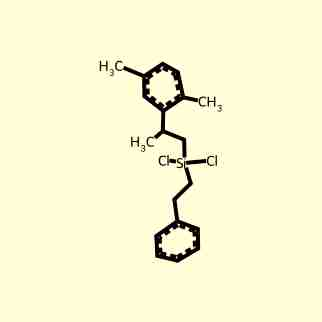 Cc1ccc(C)c(C(C)C[Si](Cl)(Cl)CCc2ccccc2)c1